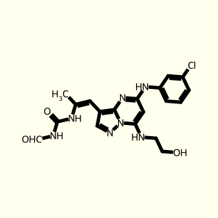 C/C(=C/c1cnn2c(NCCO)cc(Nc3cccc(Cl)c3)nc12)NC(=O)NC=O